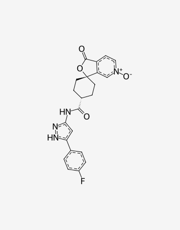 O=C1O[C@]2(CC[C@@H](C(=O)Nc3cc(-c4ccc(F)cc4)[nH]n3)CC2)c2c[n+]([O-])ccc21